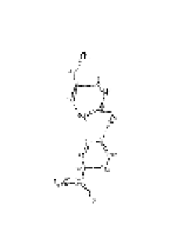 CCc1cnc(Oc2ccc(C(N)=O)cc2)nc1